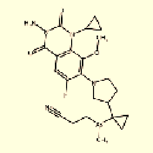 COc1c(N2CCC(C3([As](C)CCC#N)CC3)C2)c(F)cc2c(=O)n(N)c(=O)n(C3CC3)c12